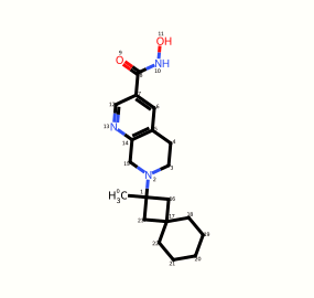 CC1(N2CCc3cc(C(=O)NO)cnc3C2)CC2(CCCCC2)C1